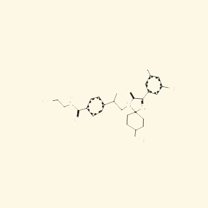 CC(CN1C(=O)C(c2cc(Cl)cc(Cl)c2)=NC12CCC(C(C)(C)C)CC2)c1ccc(C(=O)NCCC(=O)O)cc1